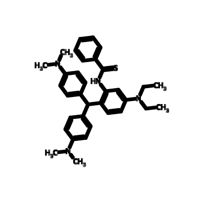 CCN(CC)c1ccc(C(c2ccc(N(C)C)cc2)c2ccc(N(C)C)cc2)c(NC(=S)c2ccccc2)c1